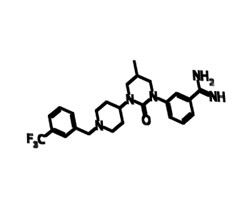 CC1CN(c2cccc(C(=N)N)c2)C(=O)N(C2CCN(Cc3cccc(C(F)(F)F)c3)CC2)C1